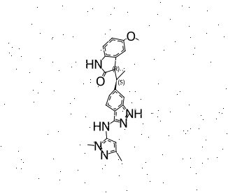 COc1ccc2c(c1)[C@]1(C[C@H]1c1ccc3c(Nc4cc(C)nn4C)n[nH]c3c1)C(=O)N2